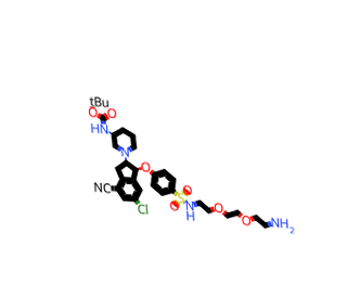 CC(C)(C)OC(=O)N[C@@H]1CCCN([C@H]2Cc3c(C#N)cc(Cl)cc3[C@@H]2Oc2ccc(S(=O)(=O)NCCOCCOCCN)cc2)C1